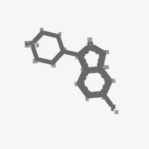 Fc1ccc2c(C3CCNCC3)occ2c1